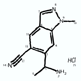 CC(N)c1cc2c(cnn2C)cc1C#N.Cl